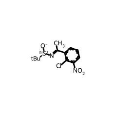 CC(=N[S@+]([O-])C(C)(C)C)c1cccc([N+](=O)[O-])c1Cl